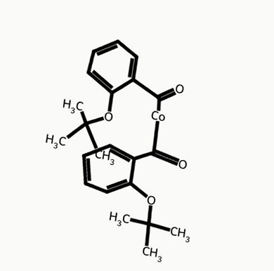 CC(C)(C)Oc1ccccc1[C](=O)[Co][C](=O)c1ccccc1OC(C)(C)C